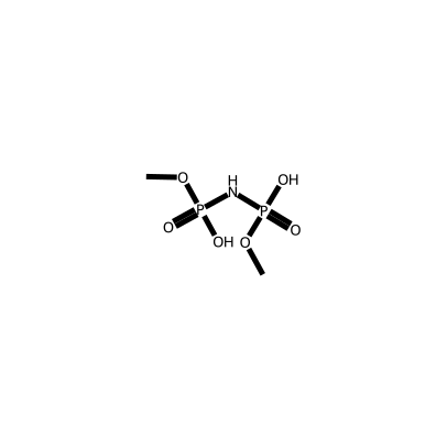 COP(=O)(O)NP(=O)(O)OC